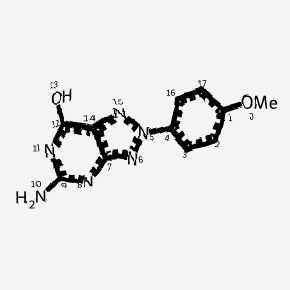 COc1ccc(-n2nc3nc(N)nc(O)c3n2)cc1